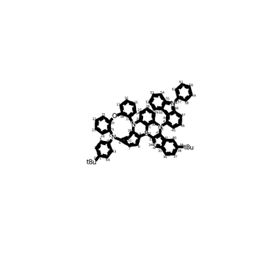 CC(C)(C)c1ccc(N2c3ccc4c(c3)N(c3ccccc3Oc3ccccc32)c2cccc3c2B4c2sc4ccc(C(C)(C)C)cc4c2N3c2cccc3c2c2ccccc2n3-c2ccccc2)cc1